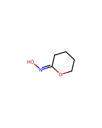 ON=C1CCCCO1